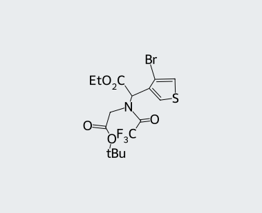 CCOC(=O)C(c1cscc1Br)N(CC(=O)OC(C)(C)C)C(=O)C(F)(F)F